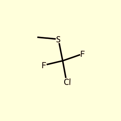 CSC(F)(F)Cl